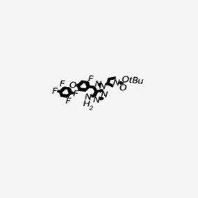 CC(C)(C)OC(=O)N1CCC(n2nc(-c3ccc(Oc4c(F)c(F)cc(F)c4F)cc3F)c3c(N)ncnc32)C1